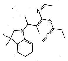 C=C=C(CC)SC(/N=C\C)=C(\C)C(C)N1CC(C)(C)C2=CCCC=C21